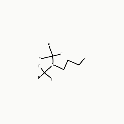 FC(F)(F)N(CCCI)C(F)(F)F